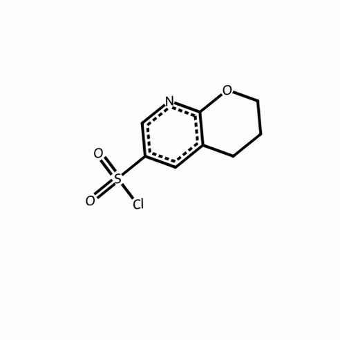 O=S(=O)(Cl)c1cnc2c(c1)CCCO2